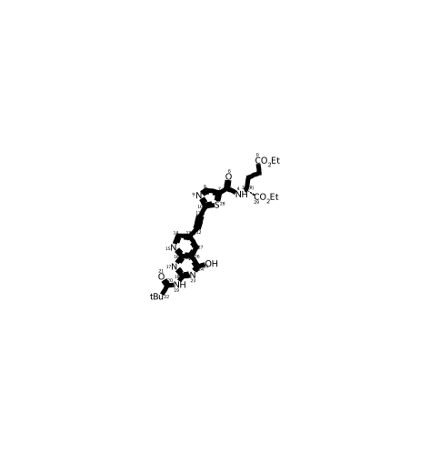 CCOC(=O)CC[C@@H](NC(=O)c1cnc(C#Cc2cnc3nc(NC(=O)C(C)(C)C)nc(O)c3c2)s1)C(=O)OCC